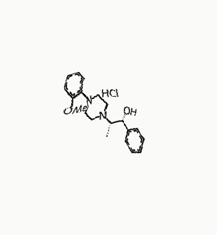 COc1ccccc1N1CCN([C@@H](C)[C@H](O)c2ccccc2)CC1.Cl